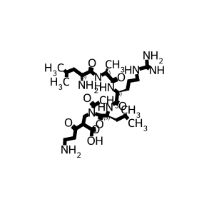 CC(=O)N(CC(C(=O)O)C(=O)CCN)C(=O)[C@H](CC(C)C)NC(=O)[C@H](CCCNC(=N)N)NC(=O)[C@H](C)NC(=O)[C@@H](N)CC(C)C